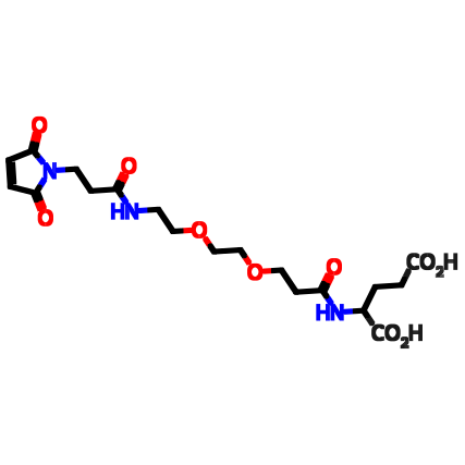 O=C(O)CCC(NC(=O)CCOCCOCCNC(=O)CCN1C(=O)C=CC1=O)C(=O)O